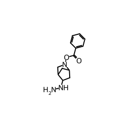 NNC1CC2CC1CN2OC(=O)c1ccccc1